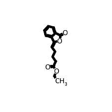 CCOC(=O)CCCC=C1OC(=O)c2ccccc21